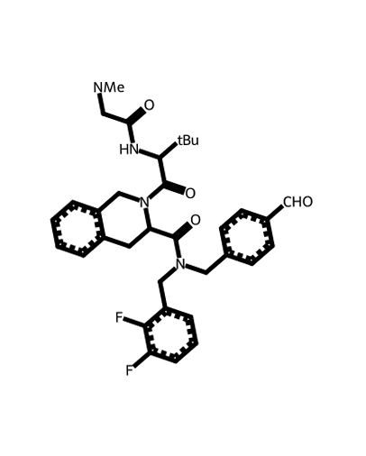 CNCC(=O)NC(C(=O)N1Cc2ccccc2CC1C(=O)N(Cc1ccc(C=O)cc1)Cc1cccc(F)c1F)C(C)(C)C